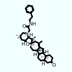 CC1=C2C[C@H]3[C@@H](CC[C@@H]4CC(=O)CC[C@@]43C)[C@@H]2CC[C@@]2(C1)O[C@@H]1C[C@H](C)CN(CC(=O)NCCc3ccccc3)[C@H]1[C@H]2C